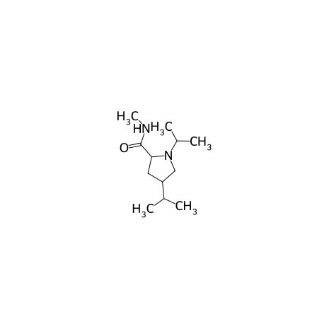 CNC(=O)C1CC(C(C)C)CN1C(C)C